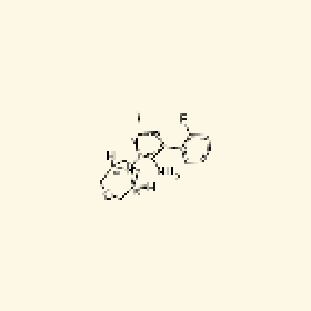 Cc1cc(-c2ccccc2F)c(N)c(N2[C@@H]3CC[C@H]2COC3)n1